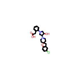 O=C(O)Cc1ccccc1N1CC(O)C(N2CCC3(CC2)Cc2cc(Cl)ccc2O3)C1